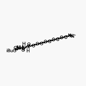 CC(C)COC(O)C[C@@H](N)CCC(=O)NCCNC(=O)CCOCCOCCOCCOCCOCCOCCOCCOCCOCCN=[N+]=[N-]